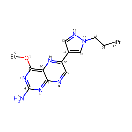 CCOc1nc(N)nc2ncc(-c3cnn(CCC(C)C)c3)nc12